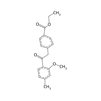 CCOC(=O)c1ccc(CC(=O)c2ccc(C)cc2OC)cc1